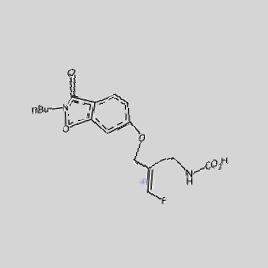 CCCCn1oc2cc(OC/C(=C/F)CNC(=O)O)ccc2c1=O